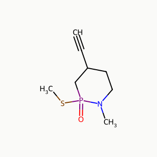 C#CC1CCN(C)P(=O)(SC)C1